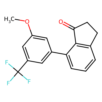 COc1cc(-c2cccc3c2C(=O)CC3)cc(C(F)(F)F)c1